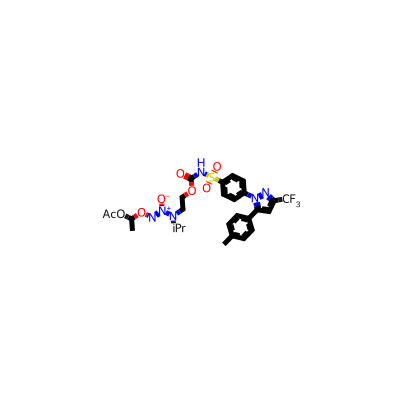 CC(=O)OC(C)ON=[N+]([O-])N(CCOC(=O)NS(=O)(=O)c1ccc(-n2nc(C(F)(F)F)cc2-c2ccc(C)cc2)cc1)C(C)C